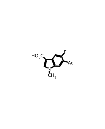 CC(=O)c1cc2c(cc1F)c(C(=O)O)cn2C